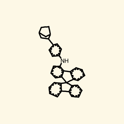 c1ccc2c(c1)-c1ccccc1C21c2ccccc2-c2c(Nc3ccc(C4CC5CCC4C5)cc3)cccc21